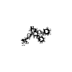 CC(C)(C)C(O[SiH](c1ccccc1)c1ccccc1)c1cncn1COCC[Si](C)(C)C